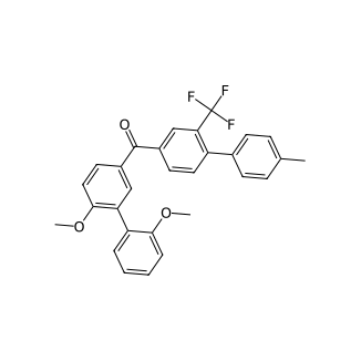 COc1ccccc1-c1cc(C(=O)c2ccc(-c3ccc(C)cc3)c(C(F)(F)F)c2)ccc1OC